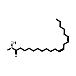 CCCCC/C=C\C/C=C\CCCCCCCCCC(=O)N(C)O